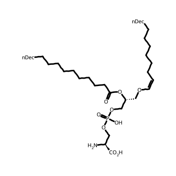 CCCCCCCCCCCCCCCC/C=C\OC[C@H](COP(=O)(O)OC[C@H](N)C(=O)O)OC(=O)CCCCCCCCCCCCCCCCCCC